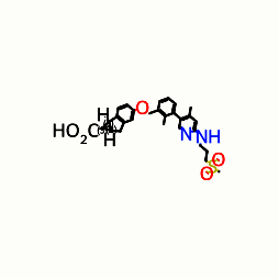 Cc1cc(NCCCS(C)(=O)=O)ncc1-c1cccc(COc2ccc3c(c2)C[C@H]2[C@H](C(=O)O)[C@@H]32)c1C